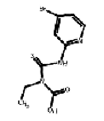 CCN(C(=O)O)C(=S)Nc1cc(Br)ccn1